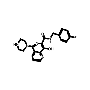 O=C(NCc1ccc(F)cc1)c1nc(N2CCNCC2)c2cccnc2c1O